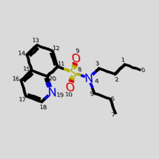 CCCCN(CCC)S(=O)(=O)c1cccc2cccnc12